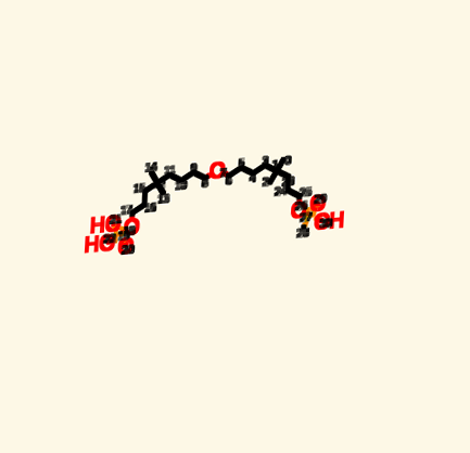 CC(C)(CCCCOCCCCC(C)(C)CCCOP(=O)(O)O)CCCOP(C)(=O)O